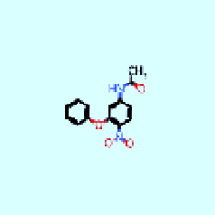 CC(=O)Nc1ccc([N+](=O)[O-])c(Oc2ccccc2)c1